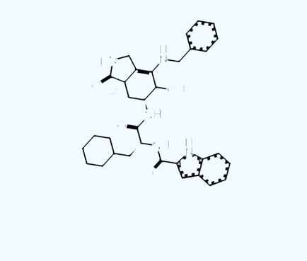 O=C(N[C@@H](CC1CCCCC1)C(=O)N[C@H]1C[C@H]2C(=O)NCC2=C(NCc2ccccc2)C1O)c1cc2ccccc2[nH]1